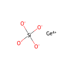 [Ge+4].[O-][Si]([O-])([O-])[O-]